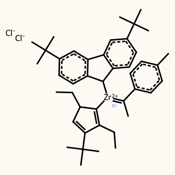 CCC1=[C](/[Zr+2](=[C](\C)c2ccc(C)cc2)[CH]2c3ccc(C(C)(C)C)cc3-c3cc(C(C)(C)C)ccc32)C(CC)C=C1C(C)(C)C.[Cl-].[Cl-]